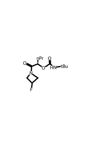 CCC[C@@H](OC(=O)NC(C)(C)C)C(=O)N1CC(F)C1